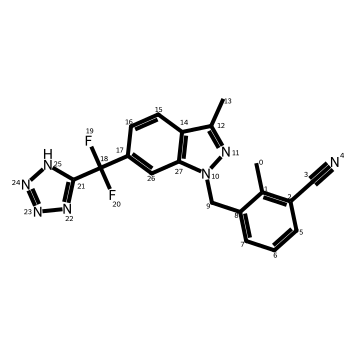 Cc1c(C#N)cccc1Cn1nc(C)c2ccc(C(F)(F)c3nnn[nH]3)cc21